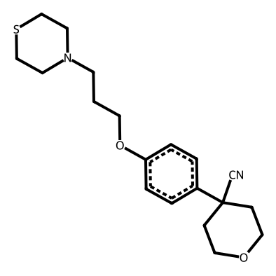 N#CC1(c2ccc(OCCCN3CCSCC3)cc2)CCOCC1